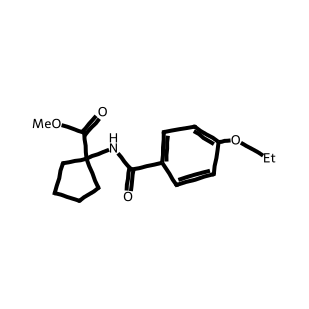 CCOc1ccc(C(=O)NC2(C(=O)OC)CCCC2)cc1